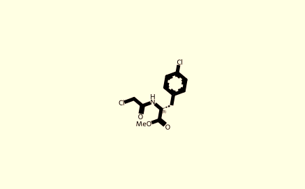 COC(=O)[C@@H](Cc1ccc(Cl)cc1)NC(=O)CCl